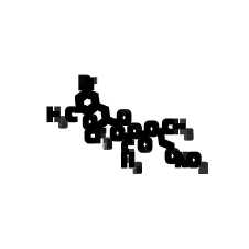 Cc1cc(Br)cc2c1O[C@H](C(F)(F)F)C(C(=O)OC(C)OC(=O)OC(C)CCO[N+](=O)[O-])=C2